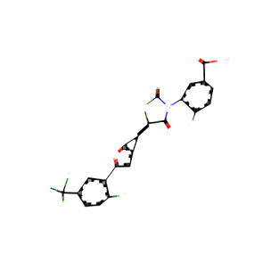 O=C(O)c1ccc(Cl)c(N2C(=O)C(=C3c4cc(-c5cc(C(F)(F)F)ccc5Cl)oc43)SC2=S)c1